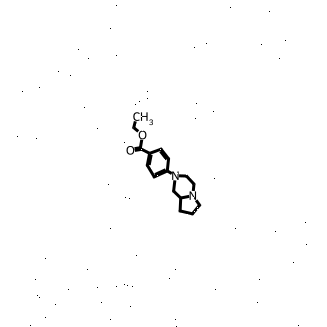 CCOC(=O)c1ccc(N2CCN3CCCC3C2)cc1